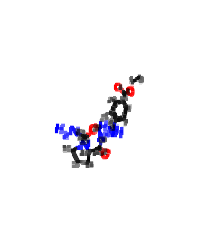 CCOC(=O)c1ccc(NNC(=O)C2CCCN2C(N)=O)cc1